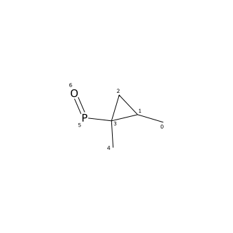 CC1CC1(C)P=O